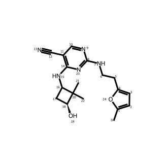 Cc1ccc(CCNc2ncc(C#N)c(NC3C[C@H](O)C3(C)C)n2)o1